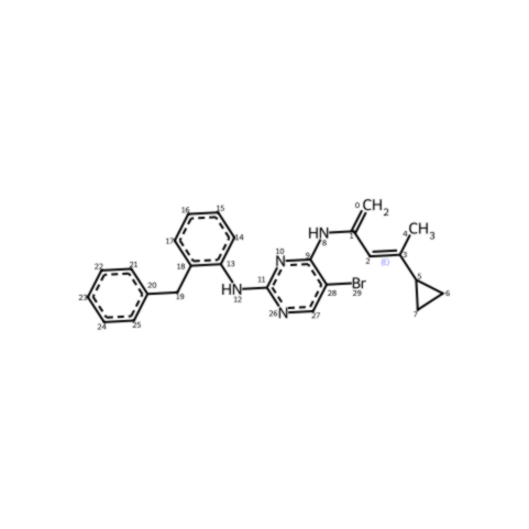 C=C(/C=C(\C)C1CC1)Nc1nc(Nc2ccccc2Cc2ccccc2)ncc1Br